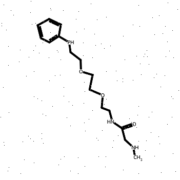 CNCC(=O)NCCOCCOCCPc1ccccc1